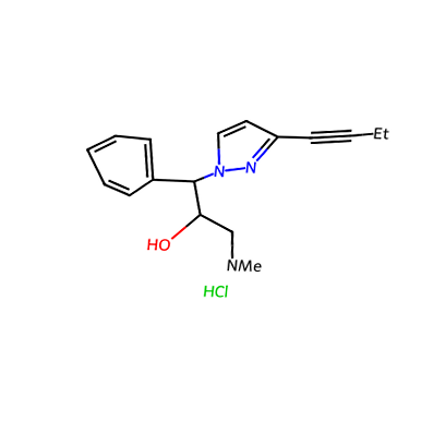 CCC#Cc1ccn(C(c2ccccc2)C(O)CNC)n1.Cl